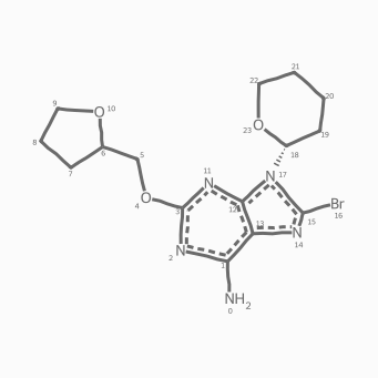 Nc1nc(OCC2CCCO2)nc2c1nc(Br)n2[C@H]1CCCCO1